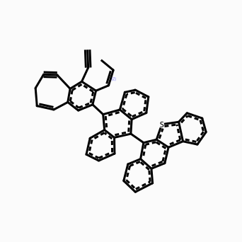 C#Cc1c2c(cc(-c3c4ccccc4c(-c4c5ccccc5cc5c4sc4ccccc45)c4ccccc34)c1/C=C\C)C=CCC#C2